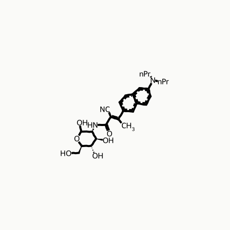 CCCN(CCC)c1ccc2cc(/C(C)=C(\C#N)C(=O)N[C@H]3C(O)O[C@H](CO)[C@@H](O)[C@@H]3O)ccc2c1